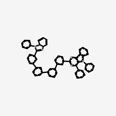 C1=CC2N=C(c3cccc(-c4cccc(-c5cccc(-c6cccc(-c7nc(-c8ccccc8)c8c(n7)c7ccccc7n8-c7ccccc7)c6)c5)c4)c3)N(c3ccccc3)C2C=C1